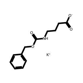 O=C([O-])CCCNC(=O)OCc1ccccc1.[K+]